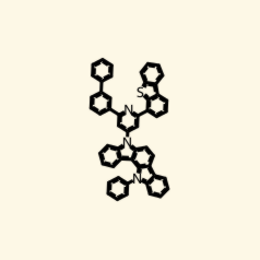 c1ccc(-c2cccc(-c3cc(-n4c5ccccc5c5c4ccc4c6ccccc6n(-c6ccccc6)c45)cc(-c4cccc5c4sc4ccccc45)n3)c2)cc1